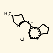 CC1CN=C(Nc2cccc3c2CCC3)C1.Cl